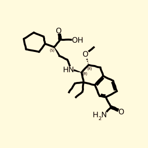 CCC1(CC)c2cc(C(N)=O)ccc2C[C@@H](OC)[C@@H]1NCC[C@H](C(=O)O)C1CCCCC1